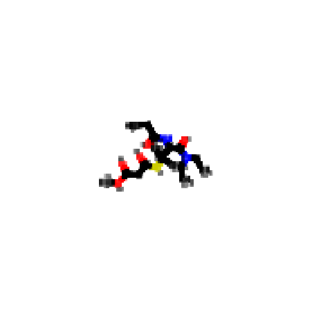 CCC(=O)NC(C(=O)N(CC)CC)C(C)(C)SC(=O)CC(=O)OC